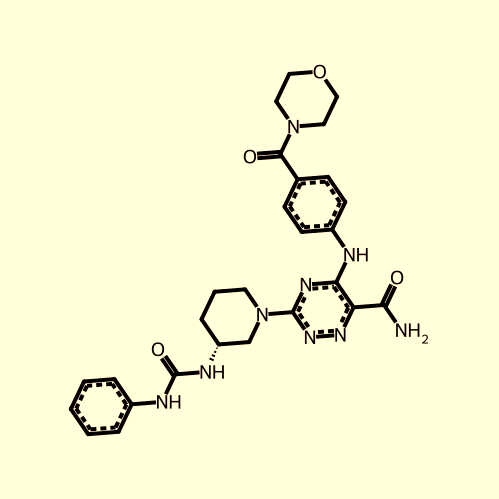 NC(=O)c1nnc(N2CCC[C@@H](NC(=O)Nc3ccccc3)C2)nc1Nc1ccc(C(=O)N2CCOCC2)cc1